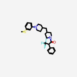 CSc1cccc(N2CCC(CC3CCN(C(=O)C(c4ccccc4)C(F)(F)F)CC3)CC2)c1